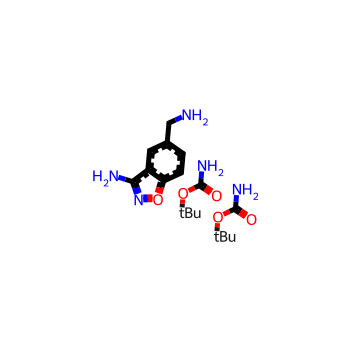 CC(C)(C)OC(N)=O.CC(C)(C)OC(N)=O.NCc1ccc2onc(N)c2c1